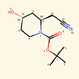 CC(C)(C)OC(=O)N1CC[C@H](O)C[C@H]1CC#N